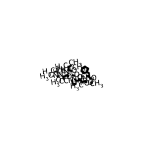 CC[C@H](C)[C@@H]([C@@H](CC(=O)N1CCC[C@H]1[C@H](OC)[C@@H](C)C(=O)N[C@@H](Cc1ccccc1)C(=O)OC)OC)N(C)C(=O)[C@@H](NC(=O)N(CC)C(C)C)C(C)C